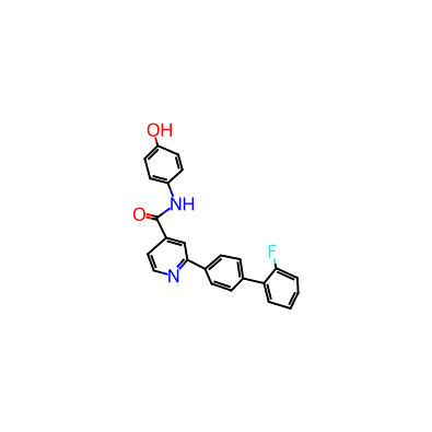 O=C(Nc1ccc(O)cc1)c1ccnc(-c2ccc(-c3ccccc3F)cc2)c1